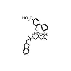 CN(C[C@H](O)CNC(C)(C)CC1Cc2ccccc2C1)S(=O)(=O)c1cccc(-c2ccc(C(=O)O)cc2Cl)c1